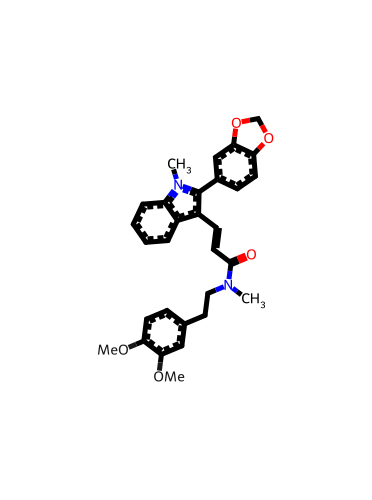 COc1ccc(CCN(C)C(=O)C=Cc2c(-c3ccc4c(c3)OCO4)n(C)c3ccccc23)cc1OC